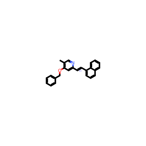 Cc1cnc(/C=C/c2cccc3ccccc23)cc1OCc1ccccc1